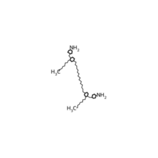 CCCCCCCCc1cc(CCCCCCCCCCCCCCCCc2ccc(Cc3ccc(N)cc3)c(CCCCCCCC)c2)ccc1Cc1ccc(N)cc1